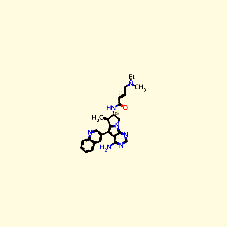 C=C1c2c(-c3cnc4ccccc4c3)c3c(N)ncnc3n2C[C@H]1NC(=O)/C=C/CN(C)CC